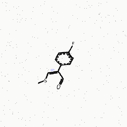 CS/C=C(\C=O)c1ccc(F)cc1